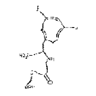 CC(C)(C)OC(=O)NC(C(=O)O)c1cc(F)cc(Cl)c1